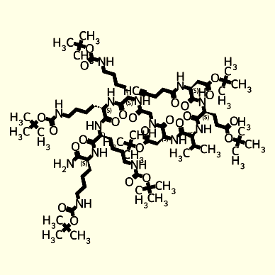 C#CCCC(=O)N[C@@H](CC(=O)OC(C)(C)C)C(=O)N[C@@H](CCC(=O)OC(C)(C)C)C(=O)N[C@H](C(=O)N[C@@H](CC(=O)OC(C)(C)C)C(=O)NCC(=O)N[C@@H](CCCCNC(=O)OC(C)(C)C)C(=O)N[C@@H](CCCCNC(=O)OC(C)(C)C)C(=O)N[C@@H](CCCCNC(=O)OC(C)(C)C)C(=O)N[C@@H](CCCCNC(=O)OC(C)(C)C)C(N)=O)C(C)C